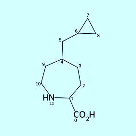 O=C(O)C1CCC(CC2CC2)CCN1